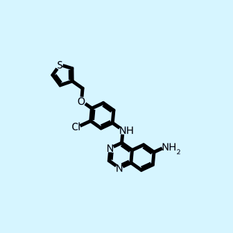 Nc1ccc2ncnc(Nc3ccc(OCc4ccsc4)c(Cl)c3)c2c1